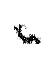 COc1cc(Nc2ccc(S(=O)(=O)N(CCON)CCON)cc2)c(C)cc1/N=N/c1c(S(=O)(=O)O)cc2cc(Nc3ccccc3)ccc2c1O